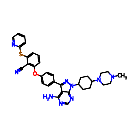 CN1CCN(C2CCC(n3nc(-c4ccc(Oc5cccc(Sc6ccccn6)c5C#N)cc4)c4c(N)ncnc43)CC2)CC1